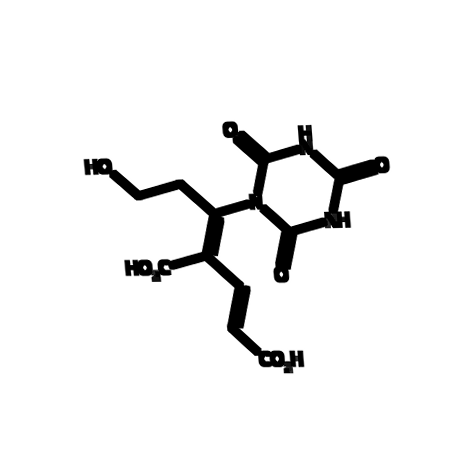 O=C(O)C=CC(C(=O)O)=C(CCO)n1c(=O)[nH]c(=O)[nH]c1=O